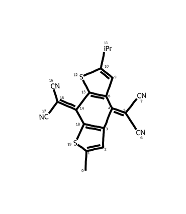 Cc1cc2c(=C(C#N)C#N)c3cc(C(C)C)sc3c(=C(C#N)C#N)c2s1